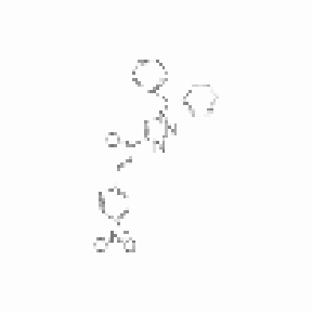 O=C(C=Cc1ccc([N+](=O)[O-])cc1)c1cn(C(c2ccccc2)c2ccccc2)nn1